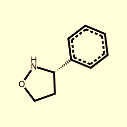 c1ccc([C@@H]2CCON2)cc1